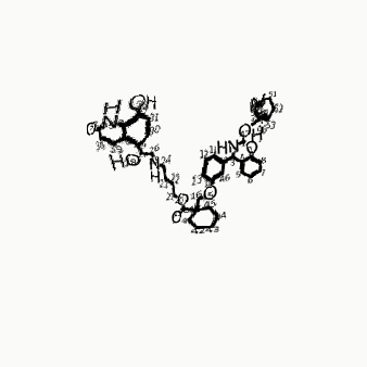 O=C(NC(c1ccccc1)c1cccc(OCC2(C(=O)OCCCCNC[C@@H](O)c3ccc(O)c4[nH]c(=O)ccc34)CCCCC2)c1)O[C@H]1CN2CCC1CC2